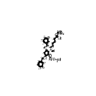 CCCCCCCO[C@@H]1[C@@H](N(C)CCCCCC(=O)OCCCC)[C@H](OCc2ccccc2)C[C@@H]1OCc1ccccc1